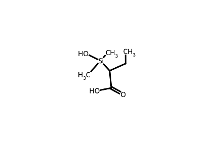 CCC(C(=O)O)[Si](C)(C)O